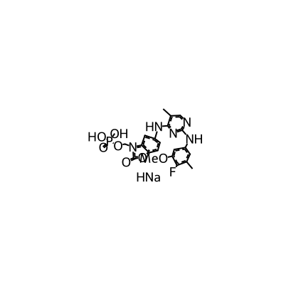 COc1cc(Nc2ncc(C)c(Nc3ccc4oc(=O)n(COP(=O)(O)O)c4c3)n2)cc(C)c1F.[NaH]